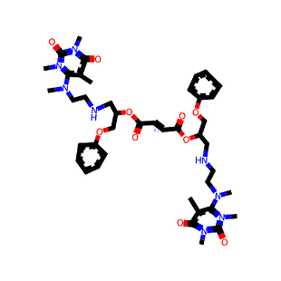 Cc1c(N(C)CCNCC(COc2ccccc2)OC(=O)/C=C/C(=O)OC(CNCCN(C)c2c(C)c(=O)n(C)c(=O)n2C)COc2ccccc2)n(C)c(=O)n(C)c1=O